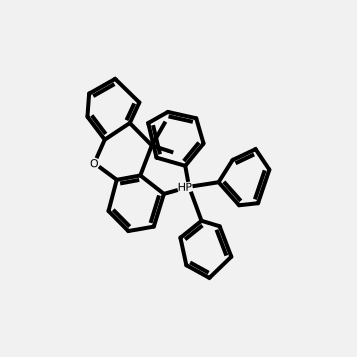 CC1(C)c2ccccc2Oc2cccc([PH](c3ccccc3)(c3ccccc3)c3ccccc3)c21